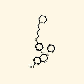 Oc1ccc2c(c1)OC[C@@H](c1ccccc1)[C@H]2c1ccc(SCCCCN2CCCCC2)cc1